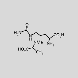 CNC(C)C(=O)O.NC(=O)NCCCC(N)C(=O)O